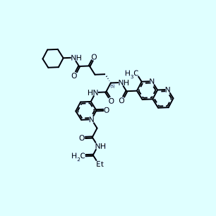 C=C(CC)NC(=O)Cn1cccc(NC(=O)[C@H](CCC(=O)C(=O)NC2CCCCC2)NC(=O)c2cc3cccnc3nc2C)c1=O